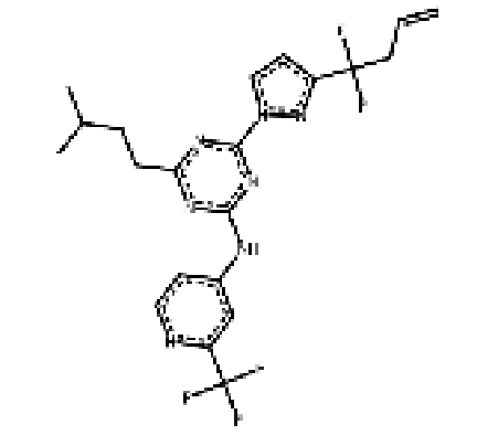 C=CCC(F)(F)c1ccn(-c2nc(CCC(C)C)nc(Nc3ccnc(C(F)(F)F)c3)n2)n1